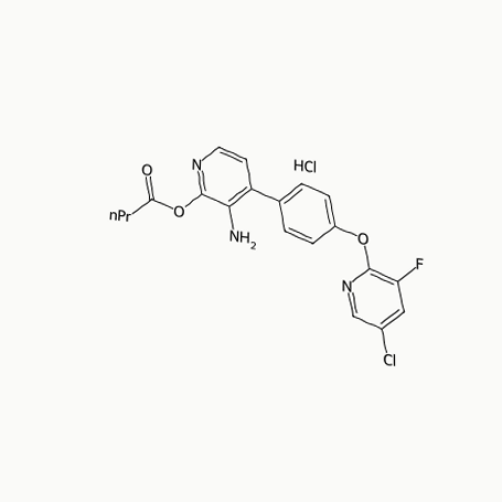 CCCC(=O)Oc1nccc(-c2ccc(Oc3ncc(Cl)cc3F)cc2)c1N.Cl